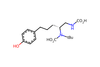 CC(C)(C)N(C(=O)O)[C@H](CCCc1ccc(O)cc1)CNC(=O)O